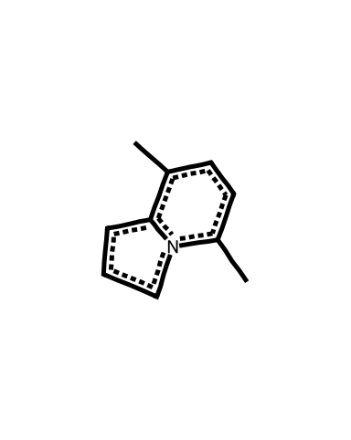 Cc1ccc(C)n2cccc12